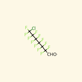 O=[C]C(F)(F)C(F)(F)C(F)(F)C(F)(F)C(F)(F)C(F)(F)Cl